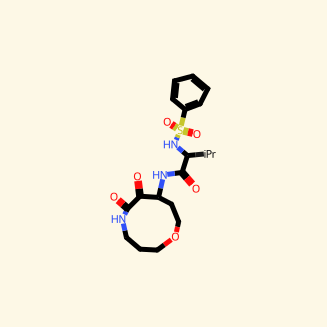 CC(C)C(NS(=O)(=O)c1ccccc1)C(=O)NC1CCOCCCNC(=O)C1=O